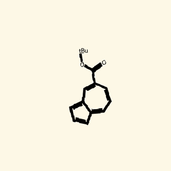 CC(C)(C)OC(=O)c1cccc2cccc-2c1